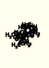 CC1=C2[C@H](O)[C@H](O)[C@@]3(C)[C@H]([C@H](C)[C@](O)(C[C@@H]1OC(=O)C(C)[C@H](CC(C)C)NC(=O)OC(C)(C)C)C2(C)C)[C@]1(C)CO[C@@H]1C[C@@H]3C